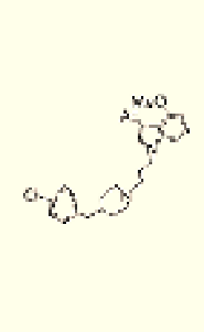 COc1cccc2c1c(C(C)=O)cn2CCCN1CCC(Cc2ccc(Cl)cc2)CC1